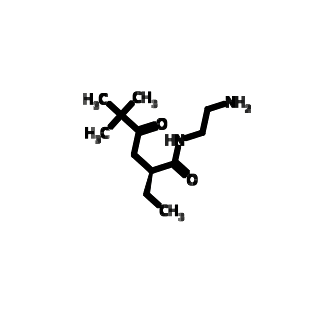 CC[C@@H](CC(=O)C(C)(C)C)C(=O)NCCN